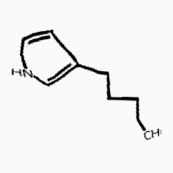 [CH]CCCc1cc[nH]c1